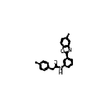 Cc1ccc(CC(=O)Nc2cccc(-c3nc4cc(C)ccc4o3)c2)cc1